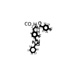 O=C(NC(Cc1ccc(-c2noc(C3CCCCC3)n2)c(F)c1)C(=O)O)c1ccc(F)cc1